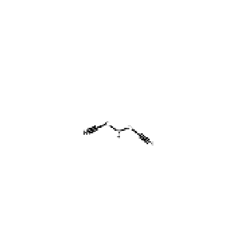 N#CONOC#N